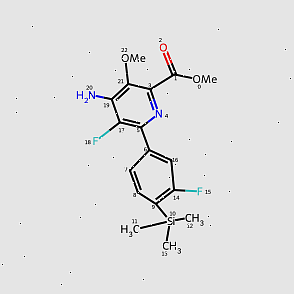 COC(=O)c1nc(-c2ccc([Si](C)(C)C)c(F)c2)c(F)c(N)c1OC